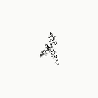 CCCCOc1ccc([C@@H]2C(CCC(=O)c3ccc(F)cc3)C(=O)N2c2ccc(F)cc2)cc1